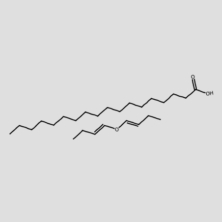 CCC=COC=CCC.CCCCCCCCCCCCCCCCCC(=O)O